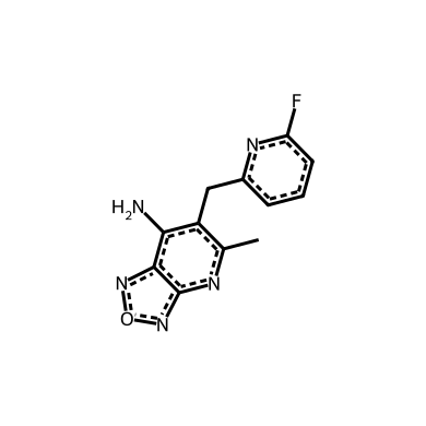 Cc1nc2nonc2c(N)c1Cc1cccc(F)n1